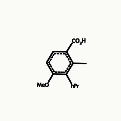 CCCc1c(OC)ccc(C(=O)O)c1C